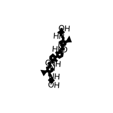 Cc1c(NC(=O)c2cc(C3CC3)c(CNC3CC(O)C3)cn2)cccc1-c1cccc(NC(=O)c2cc(C3CC3)c(CN[C@H]3C[C@@H](O)C3)cn2)c1C